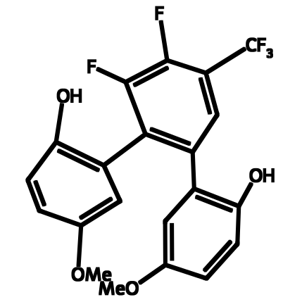 COc1ccc(O)c(-c2cc(C(F)(F)F)c(F)c(F)c2-c2cc(OC)ccc2O)c1